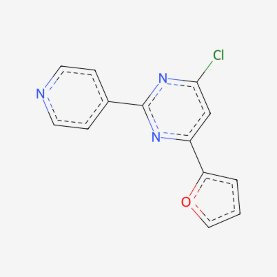 Clc1cc(-c2ccco2)nc(-c2ccncc2)n1